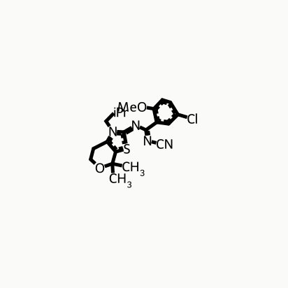 COc1ccc(Cl)cc1C(=NC#N)N=c1sc2c(n1CC(C)C)CCOC2(C)C